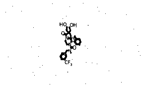 Cc1ccccc1[C@H]1[C@@H]2CC(CCO)(CCO)C(=O)N2CCN1C(=O)N(C)Cc1cccc(C(F)(F)F)c1